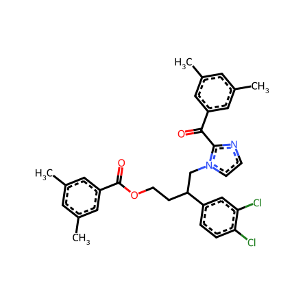 Cc1cc(C)cc(C(=O)OCCC(Cn2ccnc2C(=O)c2cc(C)cc(C)c2)c2ccc(Cl)c(Cl)c2)c1